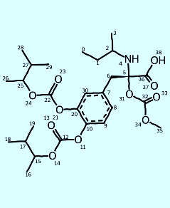 CCC(C)N[C@@](Cc1ccc(OC(=O)OC(C)C(C)C)c(OC(=O)OC(C)C(C)C)c1)(OC(=O)OC)C(=O)O